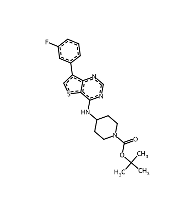 CC(C)(C)OC(=O)N1CCC(Nc2ncnc3c(-c4cccc(F)c4)csc23)CC1